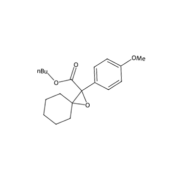 CCCCOC(=O)C1(c2ccc(OC)cc2)OC12CCCCC2